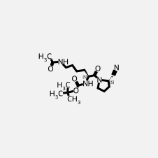 CC(=O)NCCCC[C@H](NC(=O)OC(C)(C)C)C(=O)N1CCC[C@H]1C#N